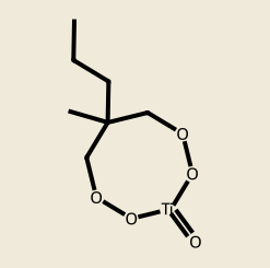 CCCC1(C)CO[O][Ti](=[O])[O]OC1